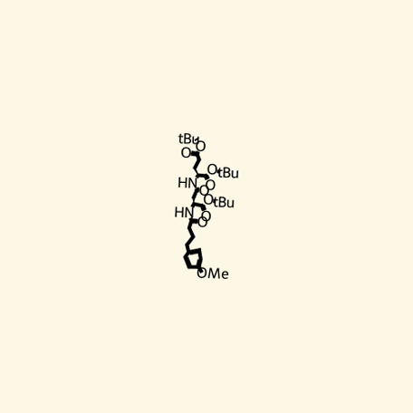 COc1ccc(CCCC(=O)N[C@@H](CC(=O)N[C@@H](CCC(=O)OC(C)(C)C)C(=O)OC(C)(C)C)C(=O)OC(C)(C)C)cc1